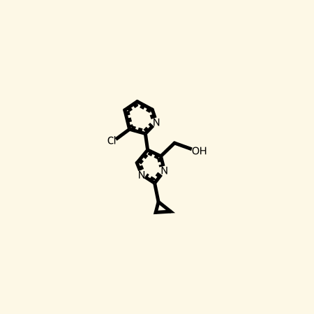 OCc1nc(C2CC2)ncc1-c1ncccc1Cl